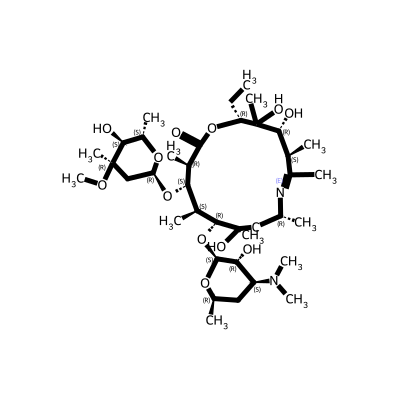 CC[C@H]1OC(=O)[C@H](C)[C@@H](O[C@H]2C[C@@](C)(OC)[C@@H](O)[C@H](C)O2)[C@H](C)[C@@H](O[C@@H]2O[C@H](C)C[C@H](N(C)C)[C@H]2O)C(C)(O)C[C@@H](C)/N=C(\C)[C@H](C)[C@@H](O)C1(C)O